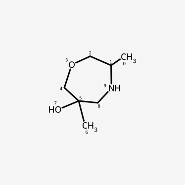 CC1COCC(C)(O)CN1